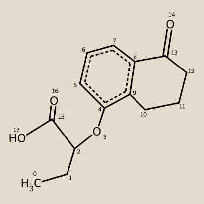 CCC(Oc1cccc2c1CCCC2=O)C(=O)O